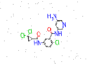 Nc1cncc(NC(=O)c2cc(NC(=O)C3CC3(Cl)Cl)ccc2Cl)c1